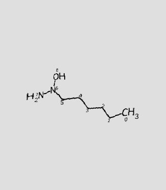 CCCCCCN(N)O